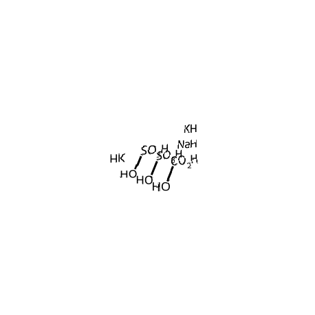 O=C(O)O.O=S(=O)(O)O.O=S(=O)(O)O.[KH].[KH].[NaH]